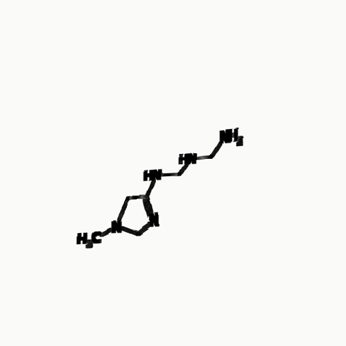 CN1CN=C(NCNCN)C1